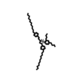 CCCCCCCCCCCCc1ccc(C=CC2=NN(c3ccc(CCCC)cc3CCCC)C(c3ccc(CCCCCCCCCCCC)cc3)C2)cc1